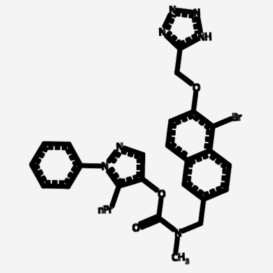 CCCc1c(OC(=O)N(C)Cc2ccc3c(Br)c(OCc4nnn[nH]4)ccc3c2)cnn1-c1ccccc1